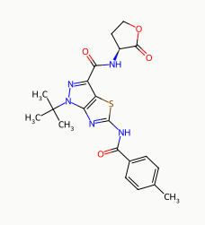 Cc1ccc(C(=O)Nc2nc3c(s2)c(C(=O)N[C@H]2CCOC2=O)nn3C(C)(C)C)cc1